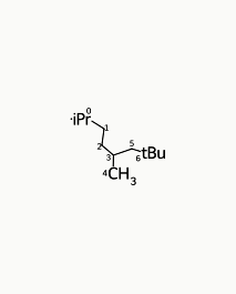 C[C](C)CCC(C)CC(C)(C)C